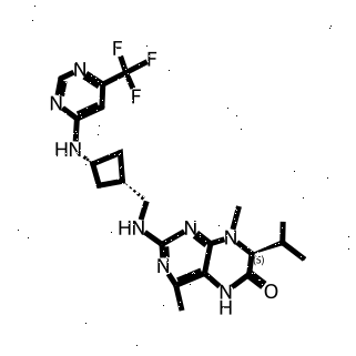 Cc1nc(NC[C@H]2C[C@@H](Nc3cc(C(F)(F)F)ncn3)C2)nc2c1NC(=O)[C@H](C(C)C)N2C